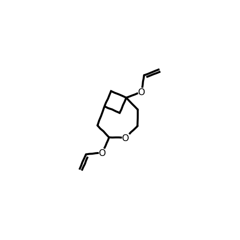 C=COC1CC2CC(OC=C)(CCO1)C2